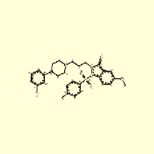 COc1ccc2c(c1)c(=O)n(CCCN1CCN(c3cccc(Cl)c3)CC1)n2S(=O)(=O)c1ccc(C)cc1